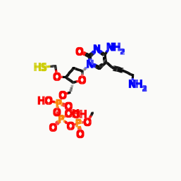 COP(=O)(O)OP(=O)(O)OP(=O)(O)OC[C@H]1O[C@@H](n2cc(C#CCN)c(N)nc2=O)CC1OCS